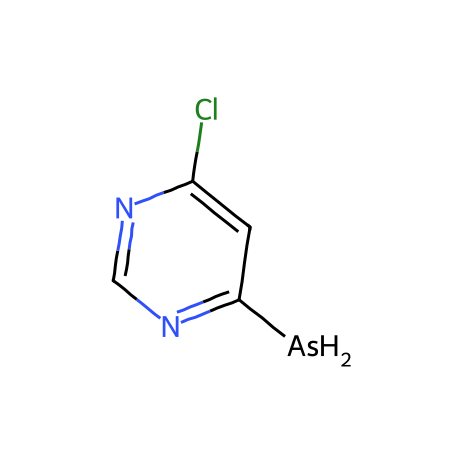 Clc1cc([AsH2])ncn1